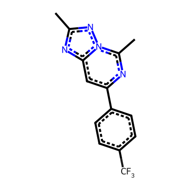 Cc1nc2cc(-c3ccc(C(F)(F)F)cc3)nc(C)n2n1